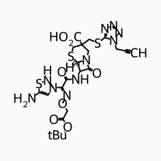 C#CCn1nnnc1SCC1(C(=O)O)CS[C@@H]2C(NC(=O)C(=NOCC(=O)OC(C)(C)C)N3C=C(N)SN3)C(=O)N2C1